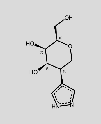 OC[C@H]1OC[C@@H](c2cn[nH]c2)[C@@H](O)[C@H]1O